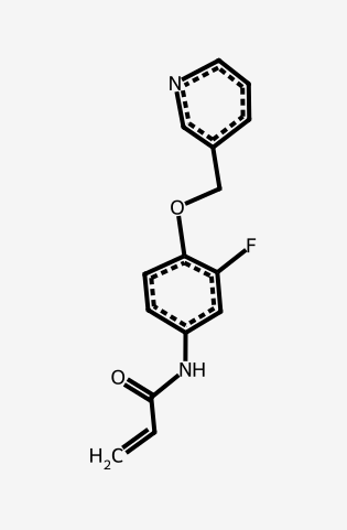 C=CC(=O)Nc1ccc(OCc2cccnc2)c(F)c1